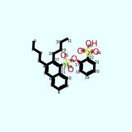 CCCCc1cc2ccccc2c(S(=O)(=O)Oc2ccccc2S(=O)(=O)O)c1CCCC